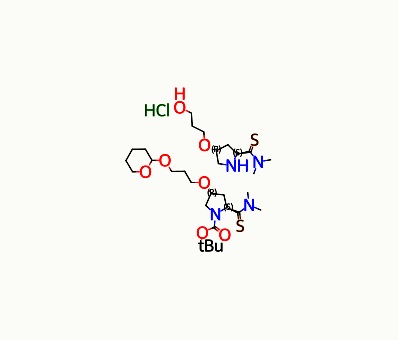 CN(C)C(=S)[C@@H]1C[C@@H](OCCCO)CN1.CN(C)C(=S)[C@@H]1C[C@@H](OCCCOC2CCCCO2)CN1C(=O)OC(C)(C)C.Cl